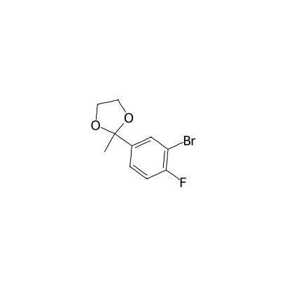 CC1(c2ccc(F)c(Br)c2)OCCO1